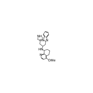 COc1ccnc2c1CCCC2NC(CCCN)Cc1nc2ccccc2[nH]1